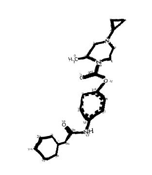 CC1CN(C2CC2)CCN1C(=O)Oc1ccc(NC(=O)CC2CCCCC2)cc1